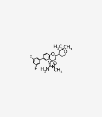 CN1OC2(CC(C3CCOC(C)(C)C3)Oc3ccc(-c4cc(F)cc(F)c4)cc32)N=C1N